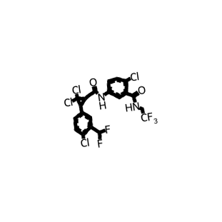 O=C(NCC(F)(F)F)c1cc(NC(=O)C2C(c3ccc(Cl)c(C(F)F)c3)C2(Cl)Cl)ccc1Cl